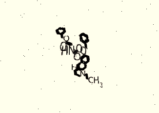 CCCN1CCC[C@@H]2Cc3c(ccc(OCc4ccccc4)c3OC(=O)NCC(=O)OCc3ccccc3)CC21